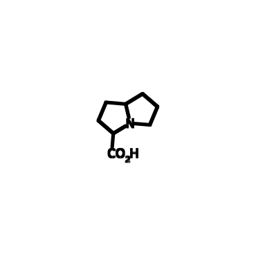 O=C(O)C1CCC2CCCN21